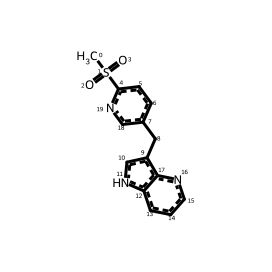 CS(=O)(=O)c1ccc(Cc2c[nH]c3cccnc23)cn1